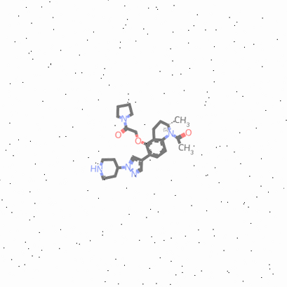 CC(=O)N1c2ccc(-c3cnn(C4CCNCC4)c3)c(OCC(=O)N3CCCC3)c2CC[C@@H]1C